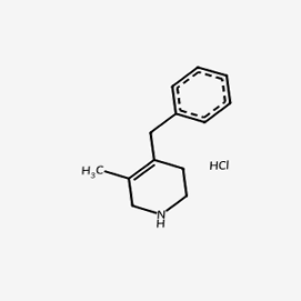 CC1=C(Cc2ccccc2)CCNC1.Cl